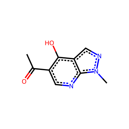 CC(=O)c1cnc2c(cnn2C)c1O